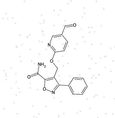 NC(=O)c1onc(-c2ccccc2)c1COc1ccc([C]=O)cn1